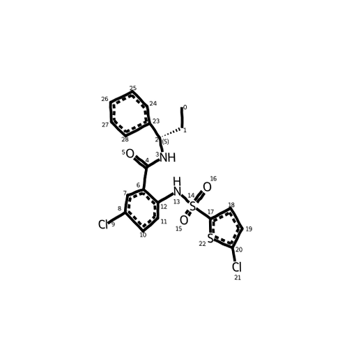 CC[C@H](NC(=O)c1cc(Cl)ccc1NS(=O)(=O)c1ccc(Cl)s1)c1ccccc1